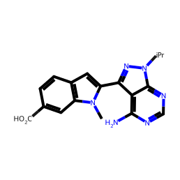 CC(C)n1nc(-c2cc3ccc(C(=O)O)cc3n2C)c2c(N)ncnc21